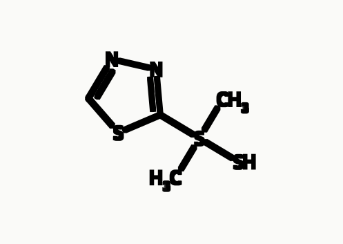 CS(C)(S)c1nncs1